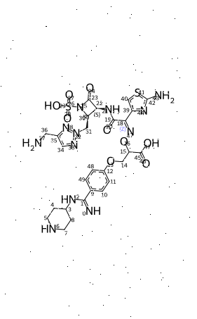 N=C(NC1CCNCC1)c1ccc(OCC(O/N=C(\C(=O)N[C@@H]2C(=O)N(S(=O)(=O)O)[C@@H]2Cn2ncc(CN)n2)c2csc(N)n2)C(=O)O)cc1